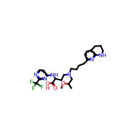 COC(C)CN(CCCCc1ccc2c(n1)NCCC2)CCC(Nc1ccnc(C(F)(F)F)n1)C(=O)O